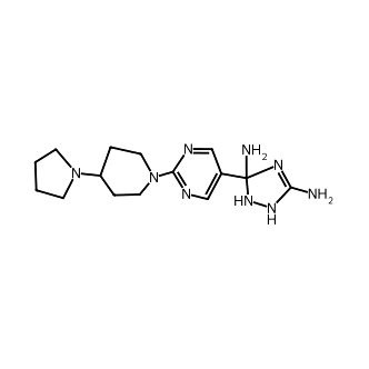 NC1=NC(N)(c2cnc(N3CCC(N4CCCC4)CC3)nc2)NN1